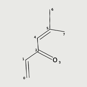 C=CC(=O)C=C(C)C